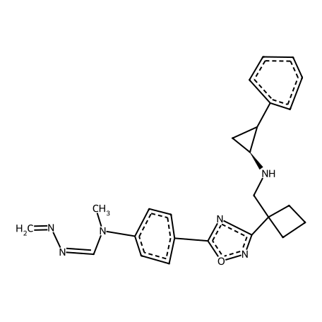 C=N/N=C\N(C)c1ccc(-c2nc(C3(CN[C@H]4CC4c4ccccc4)CCC3)no2)cc1